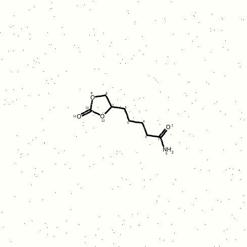 NC(=O)CCCCC1COC(=O)O1